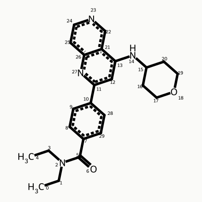 CCN(CC)C(=O)c1ccc(-c2cc(NC3CCOCC3)c3cnccc3n2)cc1